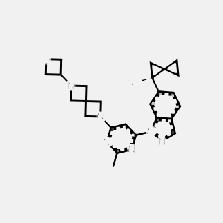 Cc1nc(N2CC3(C2)CN(C2COC2)C3)cc(-n2ncc3ccc([C@]4(C#N)CC45CC5)cc32)n1